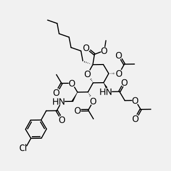 CCCCCCC[C@]1(C(=O)OC)C[C@H](OC(C)=O)[C@@H](NC(=O)COC(C)=O)[C@H]([C@H](OC(C)=O)[C@@H](CNC(=O)Cc2ccc(Cl)cc2)OC(C)=O)O1